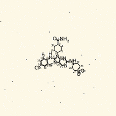 NC(=O)C1CCC(n2c(Nc3c(F)cc(Cl)cc3F)nc3cnc(NC4CCS(=O)(=O)CC4)nc32)CC1